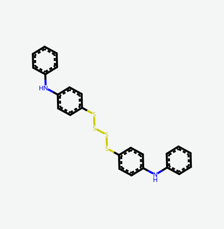 c1ccc(Nc2ccc(SSSSc3ccc(Nc4ccccc4)cc3)cc2)cc1